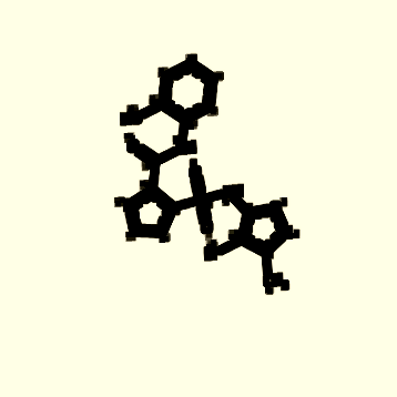 Cc1noc(NS(=O)(=O)c2ccsc2C(=O)Nc2ccccc2O)c1Br